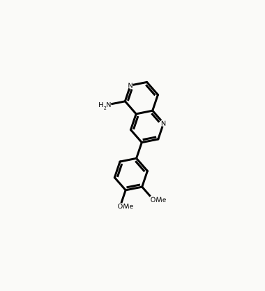 COc1ccc(-c2cnc3ccnc(N)c3c2)cc1OC